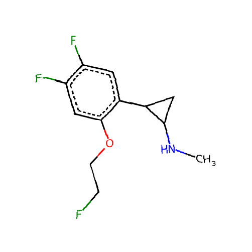 CNC1CC1c1cc(F)c(F)cc1OCCF